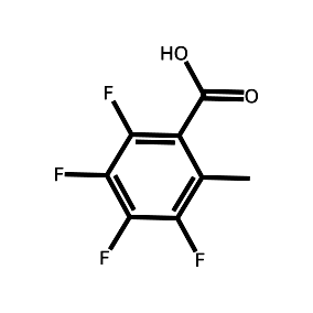 Cc1c(F)c(F)c(F)c(F)c1C(=O)O